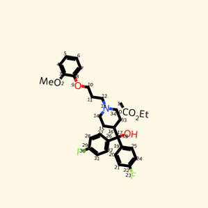 CCOC(C)=O.COc1ccccc1OCCCN1CCC(C(O)(c2ccc(F)cc2)c2ccc(F)cc2)CC1